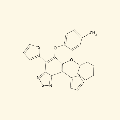 Cc1ccc(Oc2c(OC3CCCCC3)c(-c3cccs3)c3nsnc3c2-c2cccs2)cc1